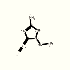 CCCNN1NC(N)=NC1=C=S